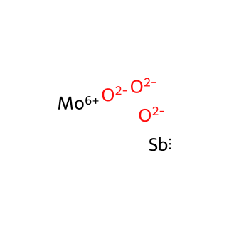 [Mo+6].[O-2].[O-2].[O-2].[Sb]